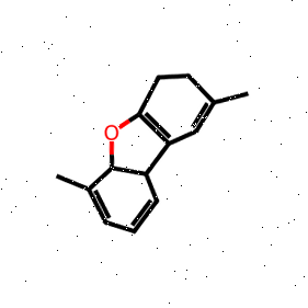 CC1=CC2=C(CC1)OC1C(C)=CC=CC21